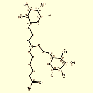 C[C@@H]1O[C@@H](OCCN(CCCCCC(=O)O)CCO[C@@H]2O[C@@H](C)[C@@H](O)[C@@H](O)[C@@H]2O)[C@@H](O)[C@H](O)[C@@H]1O